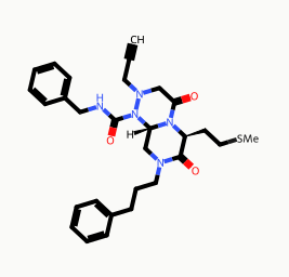 C#CCN1CC(=O)N2[C@@H](CCSC)C(=O)N(CCCc3ccccc3)C[C@@H]2N1C(=O)NCc1ccccc1